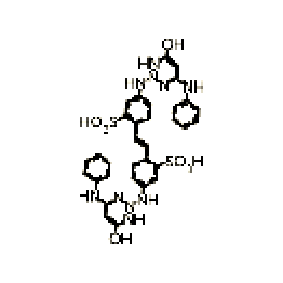 O=S(=O)(O)c1cc(NN2N=C(Nc3ccccc3)C=C(O)N2)ccc1/C=C/c1ccc(NN2N=C(Nc3ccccc3)C=C(O)N2)cc1S(=O)(=O)O